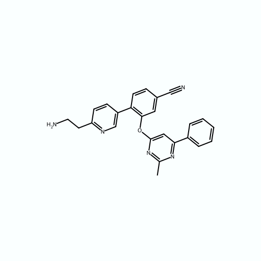 Cc1nc(Oc2cc(C#N)ccc2-c2ccc(CCN)nc2)cc(-c2ccccc2)n1